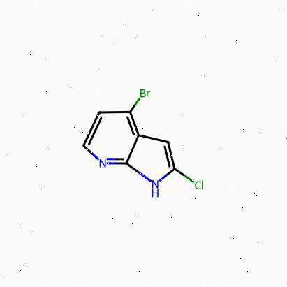 Clc1cc2c(Br)ccnc2[nH]1